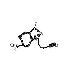 C#CCn1nc(Cl)c2ccc([N+](=O)[O-])cc21